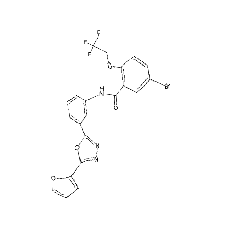 O=C(Nc1cccc(-c2nnc(-c3ccco3)o2)c1)c1cc(Br)ccc1OCC(F)(F)F